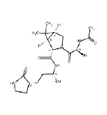 CC(C)[C@H](NC(=O)C(F)(F)F)C(=O)N1C[C@H]2[C@@H]([C@H]1C(=O)N[C@H](C#N)CC[C@@H]1CCNC1=O)C2(C)C